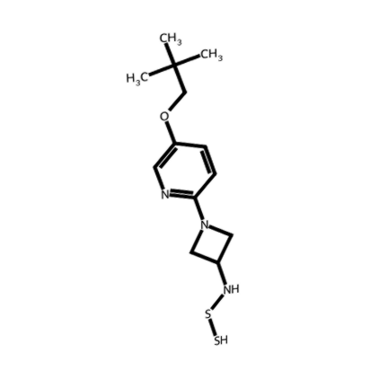 CC(C)(C)COc1ccc(N2CC(NSS)C2)nc1